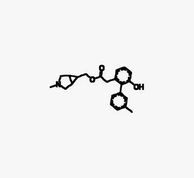 Cc1cccc(-c2c(O)cccc2CC(=O)OCC2C3CN(C)CC23)c1